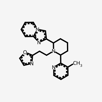 Cc1cccnc1C1CCCC(c2cn3ccccc3n2)N1CCc1ncco1